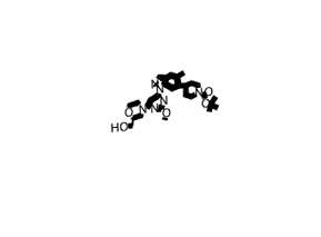 COc1nc(N2CCO[C@H](CO)C2)cc(-n2ncc3cc(C)c(C4CCN(C(=O)OC(C)(C)C)CC4)cc32)n1